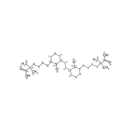 CC(C)(CCCCC1CCCC(CCC2CCCC(CCCCC(C)(C)C(=O)O)[S+]2[O-])[S+]1[O-])C(=O)O